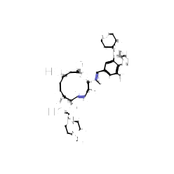 C/C(=C\c1cc(F)c2nnn(C3CCOCC3)c2c1)[C@H]1OC(=O)C[C@H](O)CC[C@H](C)[C@@H](OC(O)N2CCN(C)CC2)/C=C/[C@@H]1C